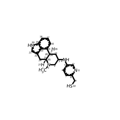 CN1CC(Nc2ccc(CS)nc2)C[C@@H]2c3cccc4[nH]cc(c34)C[C@H]21